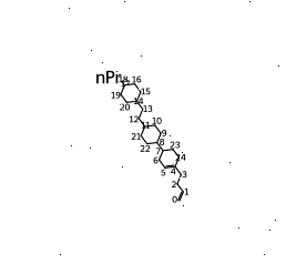 C=CCCC1=CCC(C2CCC(CCC3CCC(CCC)CC3)CC2)CC1